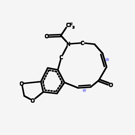 O=C1/C=C\CCN(C(=O)C(F)(F)F)Cc2cc3c(cc2/C=C\1)OCO3